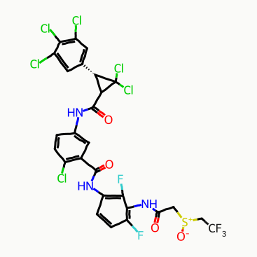 O=C(C[S+]([O-])CC(F)(F)F)Nc1c(F)ccc(NC(=O)c2cc(NC(=O)C3[C@H](c4cc(Cl)c(Cl)c(Cl)c4)C3(Cl)Cl)ccc2Cl)c1F